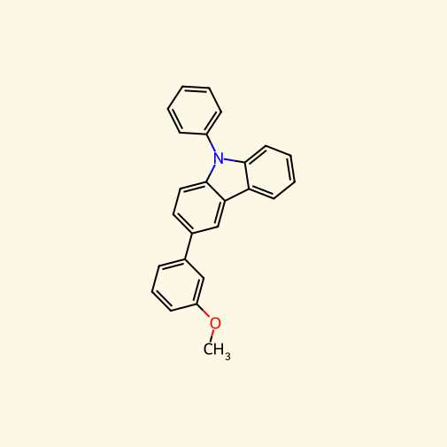 COc1cccc(-c2ccc3c(c2)c2ccccc2n3-c2ccccc2)c1